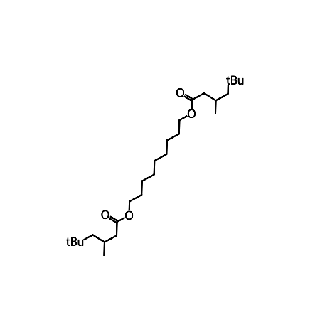 CC(CC(=O)OCCCCCCCCCOC(=O)CC(C)CC(C)(C)C)CC(C)(C)C